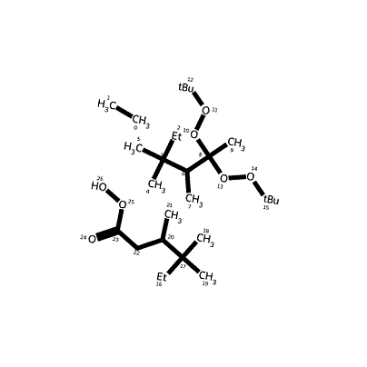 CC.CCC(C)(C)C(C)C(C)(OOC(C)(C)C)OOC(C)(C)C.CCC(C)(C)C(C)CC(=O)OO